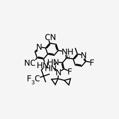 Cc1nc(F)ccc1[C@H](Nc1cc(C#N)c2ncc(C#N)c(NCC(C)(C)C(F)(F)F)c2c1)C1=C(F)N(C2(C3CC3)CC2)NN1